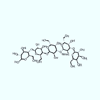 CC(=O)N[C@H]1[C@H](O[C@H]2[C@@H](O)[C@@H](CO)O[C@H](O[C@@H]3[C@H](O)[C@@H](O)[C@H](O[C@H]4[C@H](O)[C@@H](O)C(O)O[C@@H]4CO)O[C@@H]3CO)[C@@H]2O)O[C@H](CO)[C@H](O)[C@@H]1O[C@@H]1O[C@H](CO)[C@H](O)[C@H](O)[C@H]1O